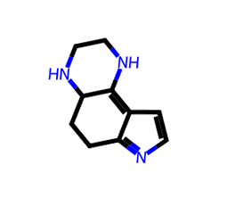 C1=CC2=C3NCCNC3CCC2=N1